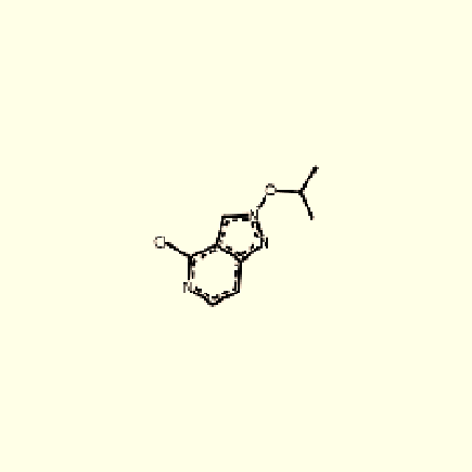 CC(C)On1cc2c(Cl)nccc2n1